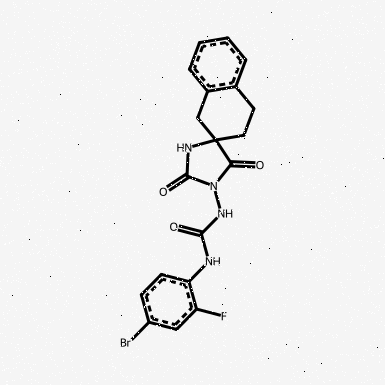 O=C(Nc1ccc(Br)cc1F)NN1C(=O)NC2(CCc3ccccc3C2)C1=O